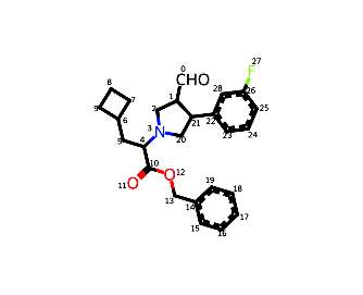 O=CC1CN(C(CC2CCC2)C(=O)OCc2ccccc2)CC1c1cccc(F)c1